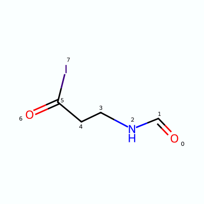 O=CNCCC(=O)I